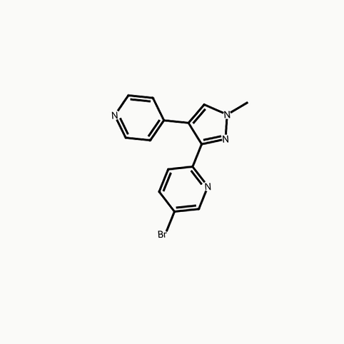 Cn1cc(-c2ccncc2)c(-c2ccc(Br)cn2)n1